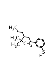 CCCC(CCc1cccc(SF)c1)C(C)(C)C